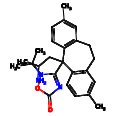 Cc1ccc2c(c1)CCc1cc(C)ccc1C2(CC(C)N)c1nc(=O)on1C(C)C